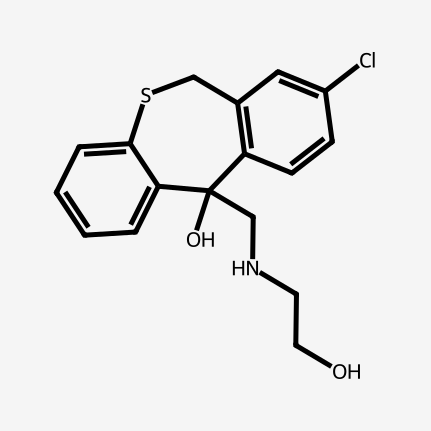 OCCNCC1(O)c2ccc(Cl)cc2CSc2ccccc21